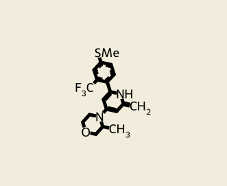 C=C1C=C(N2CCOCC2C)C=C(c2ccc(SC)cc2C(F)(F)F)N1